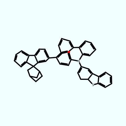 C1=C2c3ccccc3SC2CC=C1N(c1ccc(-c2ccc3c(c2)C2(CC4CCC2C4)c2ccccc2-3)cc1)c1ccccc1-c1ccccc1